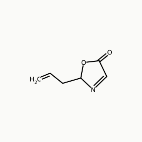 C=CCC1N=CC(=O)O1